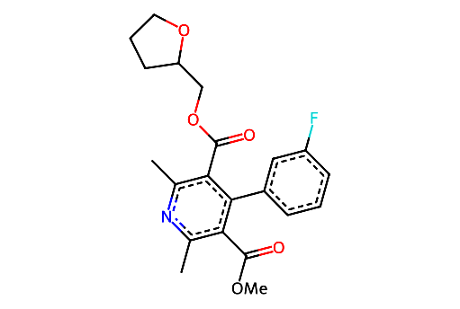 COC(=O)c1c(C)nc(C)c(C(=O)OCC2CCCO2)c1-c1cccc(F)c1